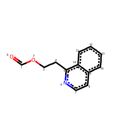 O=COCCc1nccc2ccccc12